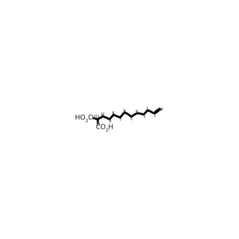 C=CCCCCCCCCCC(C(=O)O)C(=O)O